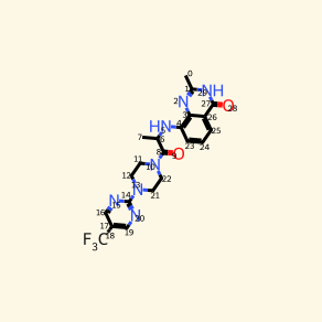 Cc1nc2c(NC(C)C(=O)N3CCN(c4ncc(C(F)(F)F)cn4)CC3)cccc2c(=O)[nH]1